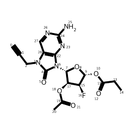 C#CCn1c(=O)n([C@@H]2O[C@H](OC(=O)CC)[C@@H](F)[C@H]2OC(C)=O)c2nc(N)ncc21